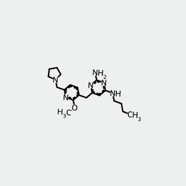 CCCCNc1cc(Cc2ccc(CN3CCCC3)nc2OC)nc(N)n1